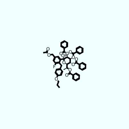 CCCOc1ccc(Cc2c(F)cc(COC(C)=O)cc2[C@@]2(O)O[C@H]([C@H](C)OC(=O)c3ccccc3)[C@@H](OC(=O)c3ccccc3)[C@H](OC(=O)c3ccccc3)[C@H]2OC(=O)c2ccccc2)cc1